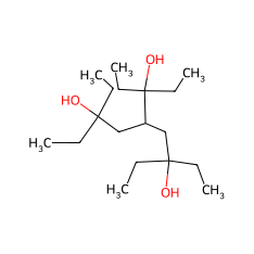 CCC(O)(CC)CC(CC(O)(CC)CC)C(O)(CC)CC